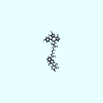 C=C1CCC(n2ncc3c(NCCCCCNC(=O)CC4N=C(c5ccc(C)cc5)c5c(sc(C)c5C)-n5c(C)nnc54)cccc3c2=O)C(=O)N1